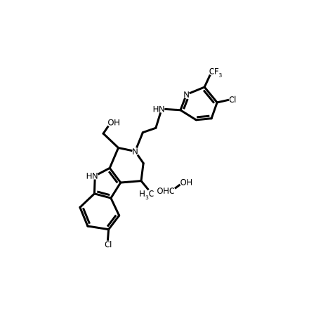 CC1CN(CCNc2ccc(Cl)c(C(F)(F)F)n2)C(CO)c2[nH]c3ccc(Cl)cc3c21.O=CO